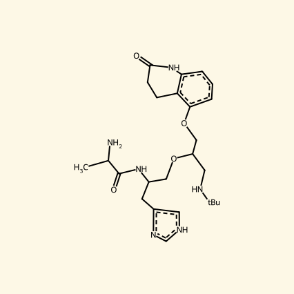 CC(N)C(=O)NC(COC(CNC(C)(C)C)COc1cccc2c1CCC(=O)N2)Cc1c[nH]cn1